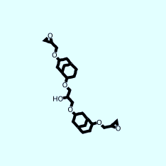 OC(COC1CC2CCC(OCC3CO3)C(C2)C1)COC1CCC2CC(OCC3CO3)CC1C2